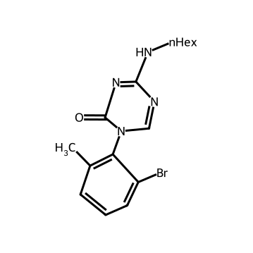 CCCCCCNc1ncn(-c2c(C)cccc2Br)c(=O)n1